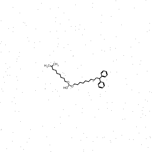 CC(C)CCCCCCCOP(O)OCCCCCCCCCC(c1ccccc1)c1ccccc1